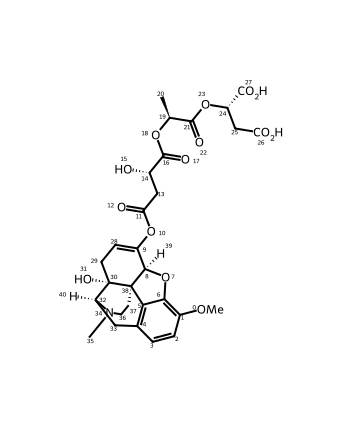 COc1ccc2c3c1O[C@@H]1C(OC(=O)C[C@H](O)C(=O)O[C@@H](C)C(=O)O[C@@H](CC(=O)O)C(=O)O)=CC[C@]4(O)[C@H](C2)N(C)CC[C@@]314